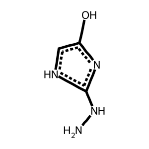 NNc1nc(O)c[nH]1